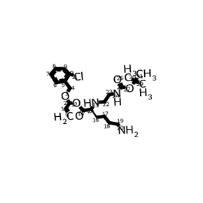 C=CC(OCc1ccccc1Cl)OC(=O)[C@H](CCCCN)NCCNC(=O)OC(C)(C)C